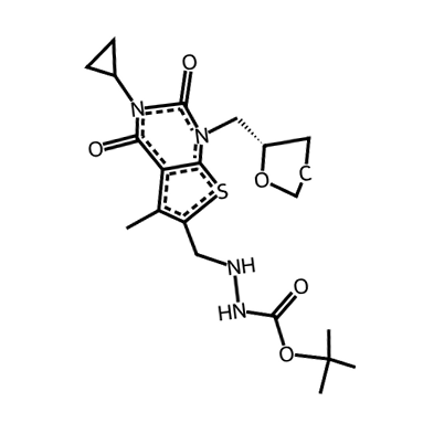 Cc1c(CNNC(=O)OC(C)(C)C)sc2c1c(=O)n(C1CC1)c(=O)n2C[C@@H]1CCCO1